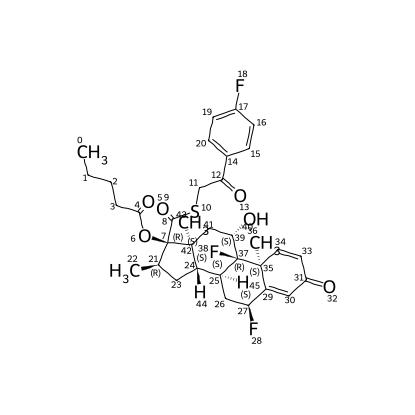 CCCCC(=O)O[C@]1(C(=O)SCC(=O)c2ccc(F)cc2)[C@H](C)C[C@H]2[C@@H]3C[C@H](F)C4=CC(=O)C=C[C@]4(C)[C@@]3(F)[C@@H](O)C[C@@]21C